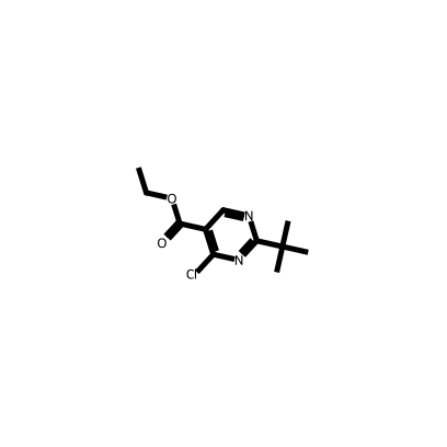 CCOC(=O)c1cnc(C(C)(C)C)nc1Cl